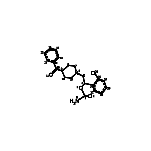 NC(=O)OC(CN1CCC(C(=O)c2ccccc2)CC1)c1ccccc1Cl